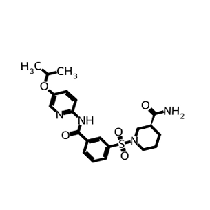 CC(C)Oc1ccc(NC(=O)c2cccc(S(=O)(=O)N3CCC[C@H](C(N)=O)C3)c2)nc1